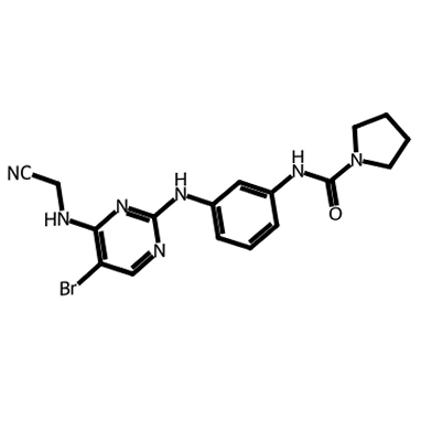 N#CCNc1nc(Nc2cccc(NC(=O)N3CCCC3)c2)ncc1Br